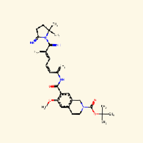 C=C(/C=C\C=C(/C)C(=N)N1C(=N)CCC1(C)C)NC(=O)c1cc2c(cc1OC)CCN(C(=O)OC(C)(C)C)C2